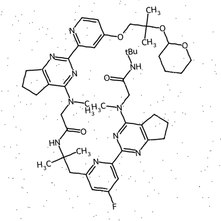 CN(CC(=O)NC(C)(C)Cc1cc(F)cc(-c2nc3c(c(N(C)CC(=O)NC(C)(C)C)n2)CCC3)n1)c1nc(-c2cc(OCC(C)(C)OC3CCCCO3)ccn2)nc2c1CCC2